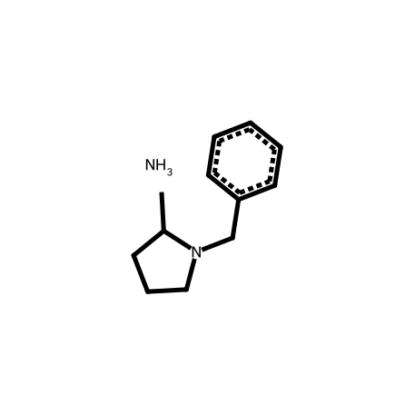 CC1CCCN1Cc1ccccc1.N